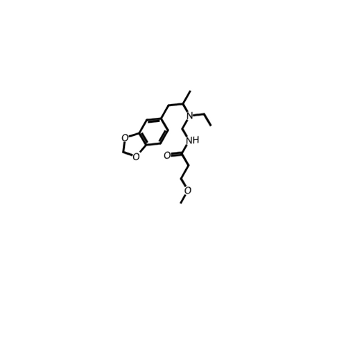 CCN(CNC(=O)CCOC)C(C)Cc1ccc2c(c1)OCO2